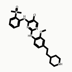 COc1cc(CCC2CCNCC2)ccc1Nc1ncc(Cl)c(Nc2ccccc2P(C)(C)=O)n1